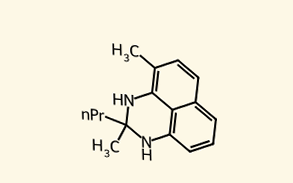 CCCC1(C)Nc2cccc3ccc(C)c(c23)N1